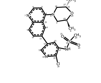 C[C@H]1CN(c2ccnc3ccc(-c4cnc(Cl)c(NS(C)(=O)=O)c4)cc23)C[C@H](C)O1